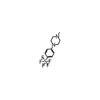 CN1CCN(c2ccc(S(F)(F)(F)(F)F)cc2)CC1